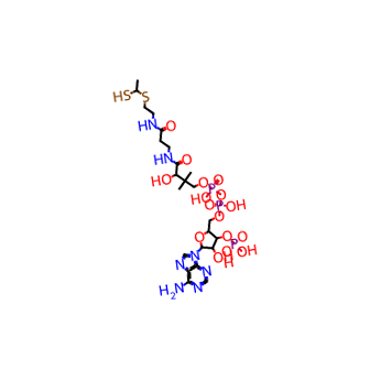 CC(S)SCCNC(=O)CCNC(=O)C(O)C(C)(C)COP(=O)(O)OP(=O)(O)OCC1OC(n2cnc3c(N)ncnc32)C(O)C1OP(=O)(O)O